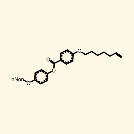 C=CCCCCCOc1ccc(C(=O)Oc2ccc(OCCCCCCCCC)cc2)cc1